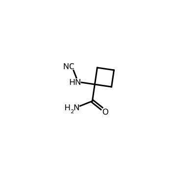 N#CNC1(C(N)=O)CCC1